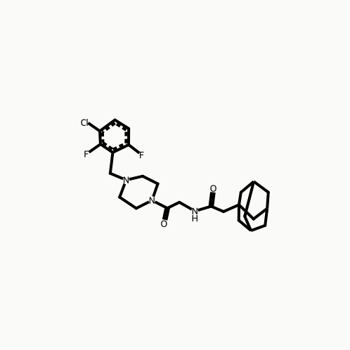 O=C(CC12CC3CC(CC(C3)C1)C2)NCC(=O)N1CCN(Cc2c(F)ccc(Cl)c2F)CC1